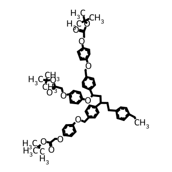 CCc1ccc(CCC(CC(Oc2ccc(OCC(=O)OC(C)(C)C)cc2)c2ccc(COc3ccc(OCC(=O)OC(C)(C)C)cc3)cc2)c2ccc(COc3ccc(OCC(=O)OC(C)(C)C)cc3)cc2)cc1